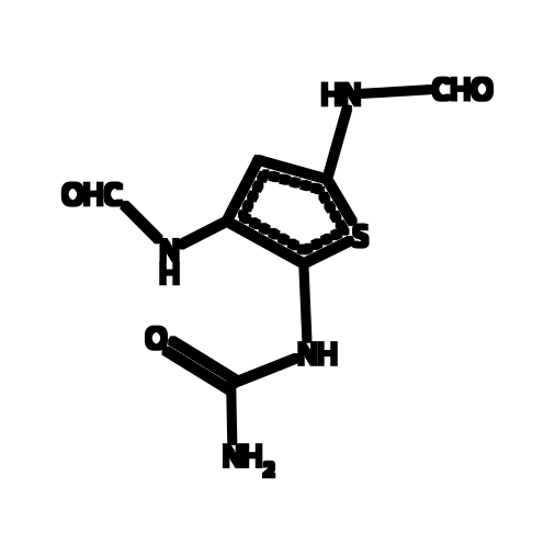 NC(=O)Nc1sc(NC=O)cc1NC=O